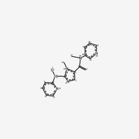 C=C(c1cnc([S+]([O-])c2ccccn2)n1C)N(C)c1cccnc1